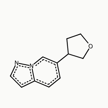 c1cc2ccc(C3CCOC3)cn2n1